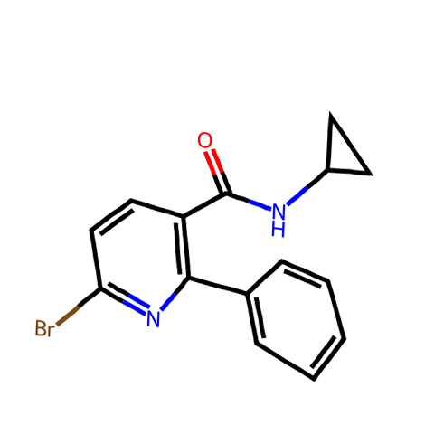 O=C(NC1CC1)c1ccc(Br)nc1-c1ccccc1